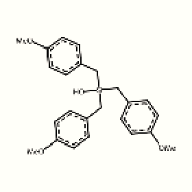 COc1ccc(C[Si](O)(Cc2ccc(OC)cc2)Cc2ccc(OC)cc2)cc1